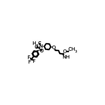 CCOC(=N)CCCO[C@H]1CC[C@H](N(C)S(=O)(=O)c2ccc(C(F)(F)F)cc2)CC1